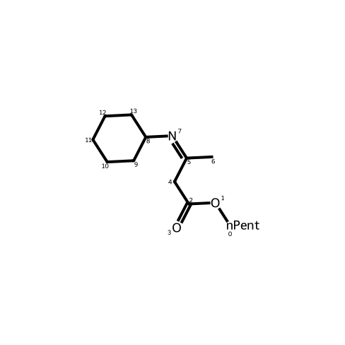 CCCCCOC(=O)CC(C)=NC1CCCCC1